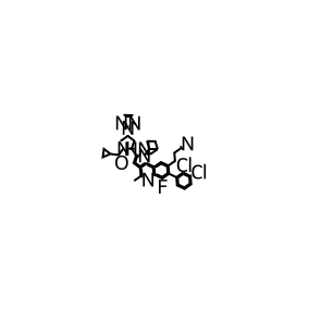 Cc1nc2c(F)c(-c3cccc(Cl)c3Cl)c(CCC#N)cc2c2c1cc(C1CC(n3nccn3)CN1C(=O)C1CC1)n2C1C2CNC1C2